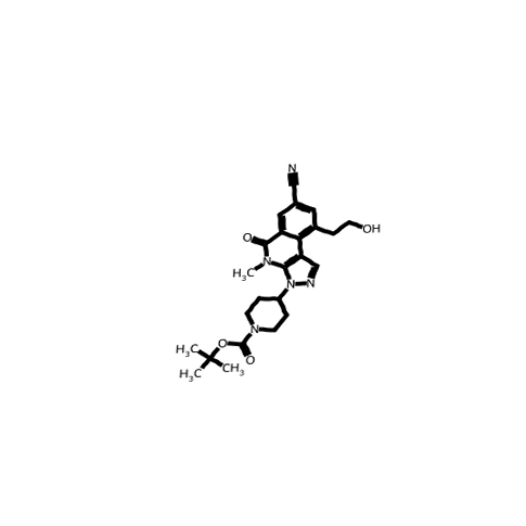 Cn1c(=O)c2cc(C#N)cc(CCO)c2c2cnn(C3CCN(C(=O)OC(C)(C)C)CC3)c21